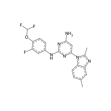 Cc1ccc2c(c1)nc(C)n2-c1cc(N)nc(Nc2ccc(OC(F)F)c(F)c2)n1